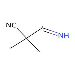 CC(C)([C]=N)C#N